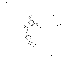 CCC(C)(C)c1ccc(COC(=O)c2cc(OC)cc(OC)c2)cc1